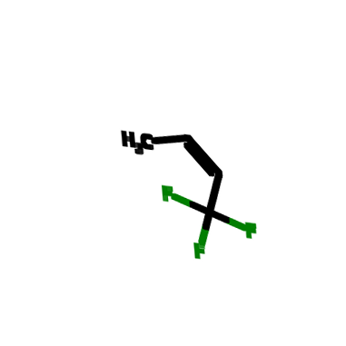 C/C=C\C(F)(F)F